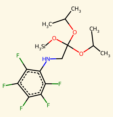 CC(C)OC(CNc1c(F)c(F)c(F)c(F)c1F)(O[SiH3])OC(C)C